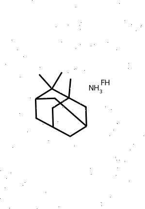 CC12CC3CC(CC(C3)C1(C)C)C2.F.N